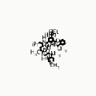 CCS(=O)(=O)Nc1cc(C(=O)NC(C)c2ccccc2)cc(C(=O)NC(CC(C)C)C(O)CC(C)C(=O)NC(C(=O)N(C)C2CCN(C)CC2)C(C)C)c1